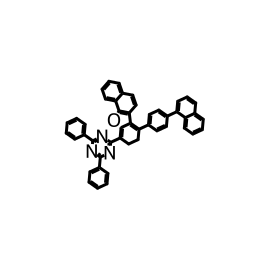 c1ccc(-c2nc(C3=c4oc5c(ccc6ccccc65)c4=C(c4ccc(-c5cccc6ccccc56)cc4)CC3)nc(-c3ccccc3)n2)cc1